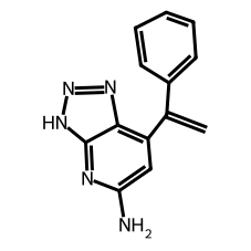 C=C(c1ccccc1)c1cc(N)nc2[nH]nnc12